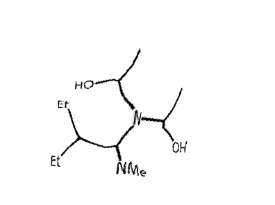 CCC(CC)C(NC)N(C(C)O)C(C)O